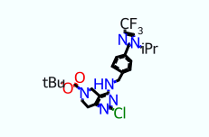 CC(C)n1cc(C(F)(F)F)nc1-c1ccc(CNc2nc(Cl)nc3c2CN(C(=O)OC(C)(C)C)CC3)cc1